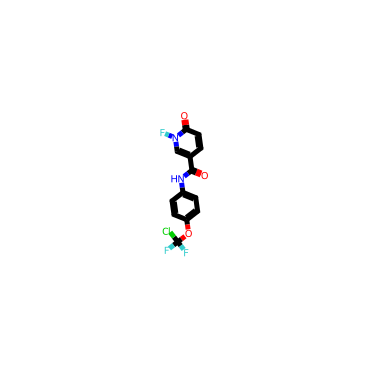 O=C(Nc1ccc(OC(F)(F)Cl)cc1)c1ccc(=O)n(F)c1